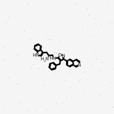 N[C@@H](CNc1onc(-c2ccc3cnccc3c2)c1Cc1ccccc1)Cc1c[nH]c2ccccc12